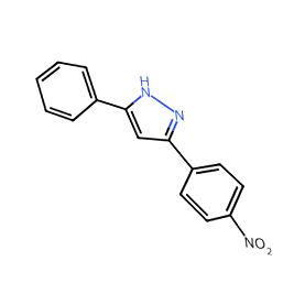 O=[N+]([O-])c1ccc(-c2cc(-c3ccccc3)[nH]n2)cc1